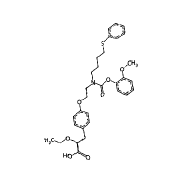 CCOC(Cc1ccc(OCCN(CCCCSc2ccccc2)C(=O)Oc2ccccc2OC)cc1)C(=O)O